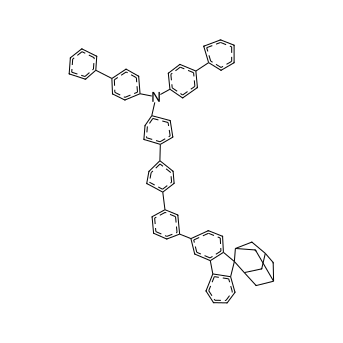 c1ccc(-c2ccc(N(c3ccc(-c4ccccc4)cc3)c3ccc(-c4ccc(-c5cccc(-c6ccc7c(c6)-c6ccccc6C76C7CC8CC(C7)CC6C8)c5)cc4)cc3)cc2)cc1